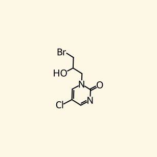 O=c1ncc(Cl)cn1CC(O)CBr